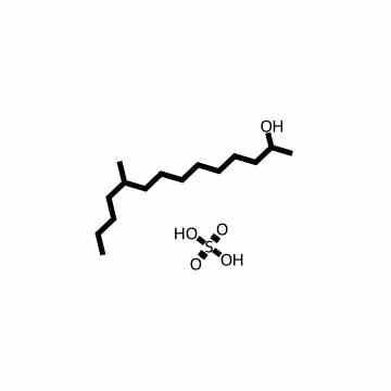 CCCCC(C)CCCCCCCC(C)O.O=S(=O)(O)O